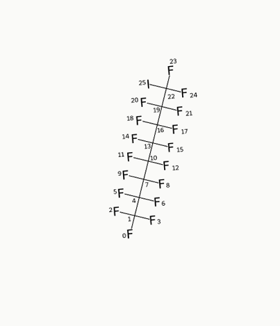 FC(F)(F)C(F)(F)C(F)(F)C(F)(F)C(F)(F)C(F)(F)C(F)(F)C(F)(F)I